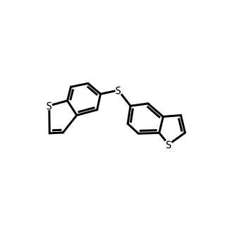 c1cc2cc(Sc3ccc4sccc4c3)ccc2s1